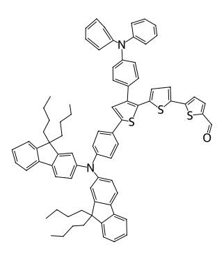 CCCCC1(CCCC)c2ccccc2-c2ccc(N(c3ccc(-c4cc(-c5ccc(N(c6ccccc6)c6ccccc6)cc5)c(-c5ccc(-c6ccc(C=O)s6)s5)s4)cc3)c3ccc4c(c3)C(CCCC)(CCCC)c3ccccc3-4)cc21